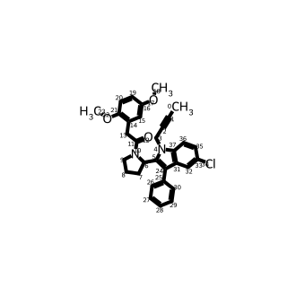 CC#CCn1c(C2CCCN2C(=O)Cc2cc(OC)ccc2OC)c(-c2ccccc2)c2cc(Cl)ccc21